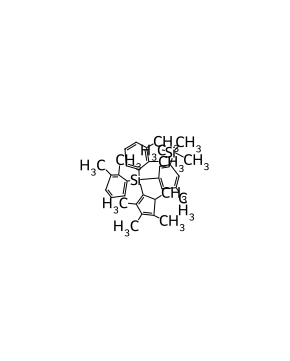 CC1=C(C)C(C)C([Si](c2cc(C)cc([Si](C)(C)C)c2)(c2cccc(C)c2C)c2cccc(C)c2C)=C1C